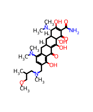 COCC(C)CN(C)Cc1cc(N(C)C)c2c(c1O)C(=O)C1=C(O)[C@]3(O)C(=O)C(C(N)=O)=C(O)[C@@H](N(C)C)[C@@H]3C[C@@H]1C2